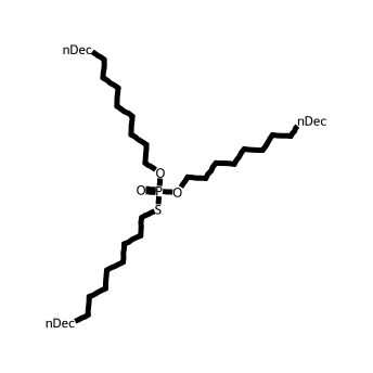 CCCCCCCCCCCCCCCCCCOP(=O)(OCCCCCCCCCCCCCCCCCC)SCCCCCCCCCCCCCCCCCC